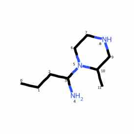 CCCC(N)N1CCNCC1C